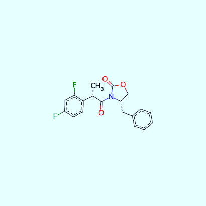 C[C@H](C(=O)N1C(=O)OC[C@@H]1Cc1ccccc1)c1ccc(F)cc1F